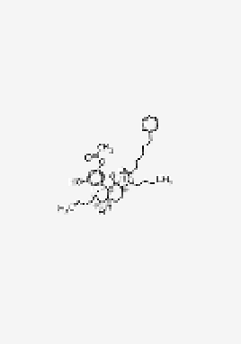 C=CCN1CC[C@]23c4c5c(O)cc(OC(C)=O)c4O[C@H]2[C@@H](N(CCCC)C(=O)CCCCCc2ccccc2)CC[C@H]3[C@H]1C5